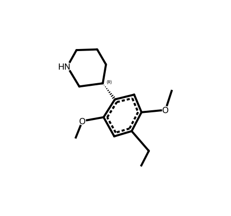 CCc1cc(OC)c([C@H]2CCCNC2)cc1OC